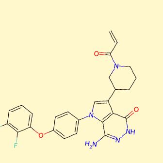 C=CC(=O)N1CCCC(c2cn(-c3ccc(Oc4cccc(F)c4F)cc3)c3c(N)n[nH]c(=O)c23)C1